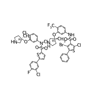 C[C@@]1(Oc2cc(N(Cl)S(=O)(=O)c3ccc(-c4ccc(F)c(Cl)c4)s3)ccc2Cl)CCNC1.C[C@@]1(Oc2cc(NS(=O)(=O)c3c(Cl)sc(-c4ccccc4)c3Br)ccc2C(F)(F)F)CCNC1